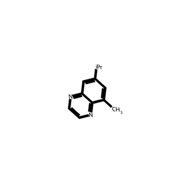 Cc1cc(C(C)C)cc2nccnc12